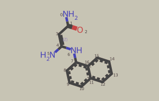 NC(=O)/C=C(/N)Nc1cccc2ccccc12